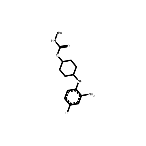 CC(C)(C)NC(=O)OC1CCC(Nc2ccc(Cl)cc2N)CC1